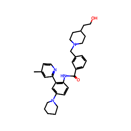 Cc1ccnc(-c2cc(N3CCCCC3)ccc2NC(=O)c2cccc(CN3CCC(CCO)CC3)c2)c1